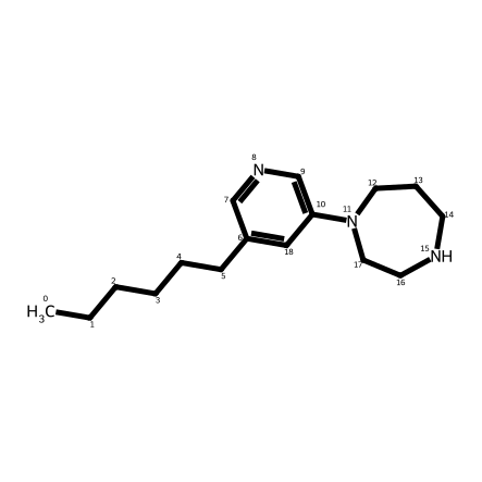 CCCCCCc1cncc(N2CCCNCC2)c1